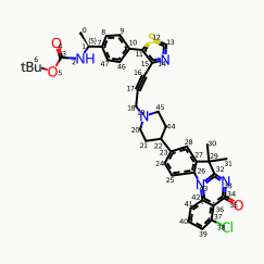 C[C@H](NC(=O)OC(C)(C)C)c1ccc(-c2scnc2C#CCN2CCC(c3ccc4c(c3)C(C)(C)c3nc(=O)c5c(Cl)cccc5n3-4)CC2)cc1